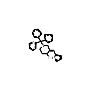 OC1CCN(C(c2ccccc2)(c2ccccc2)c2ccccc2)CC1=Cc1cccs1